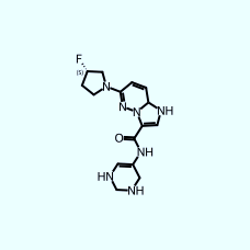 O=C(NC1=CNCNC1)C1=CNC2C=CC(N3CC[C@H](F)C3)=NN12